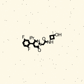 CC(C)c1nn(CC(=O)N[C@H]2C[C@](C)(O)C2)c(=O)cc1-c1cc(F)ccc1F